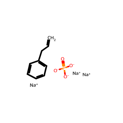 C=CCc1ccccc1.O=P([O-])([O-])[O-].[Na+].[Na+].[Na+]